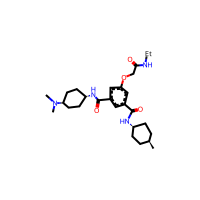 CCNC(=O)COc1cc(C(=O)N[C@H]2CC[C@H](C)CC2)cc(C(=O)N[C@H]2CC[C@H](N(C)C)CC2)c1